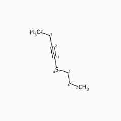 CCC#CSCCC